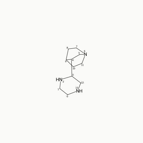 C1CNC(C2CN3CCC2CC3)CN1